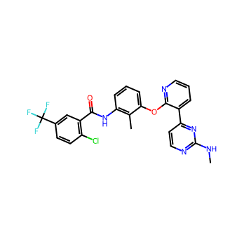 CNc1nccc(-c2cccnc2Oc2cccc(NC(=O)c3cc(C(F)(F)F)ccc3Cl)c2C)n1